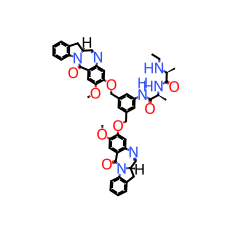 CCN[C@@H](C)C(=O)N[C@@H](C)C(=O)Nc1cc(COc2cc3c(cc2OC)C(=O)N2c4ccccc4C[C@H]2C=N3)cc(COc2cc3c(cc2OC)C(=O)N2c4ccccc4C[C@H]2C=N3)c1